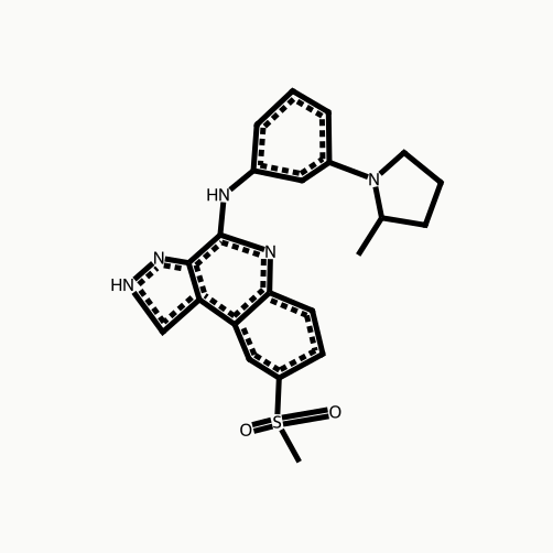 CC1CCCN1c1cccc(Nc2nc3ccc(S(C)(=O)=O)cc3c3c[nH]nc23)c1